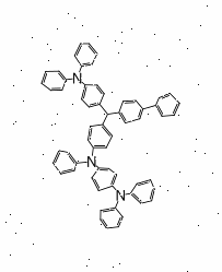 c1ccc(-c2ccc(C(c3ccc(N(c4ccccc4)c4ccccc4)cc3)c3ccc(N(c4ccccc4)c4ccc(N(c5ccccc5)c5ccccc5)cc4)cc3)cc2)cc1